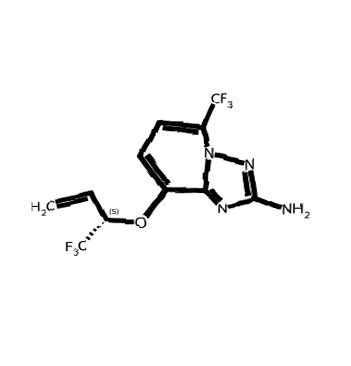 C=C[C@H](Oc1ccc(C(F)(F)F)n2nc(N)nc12)C(F)(F)F